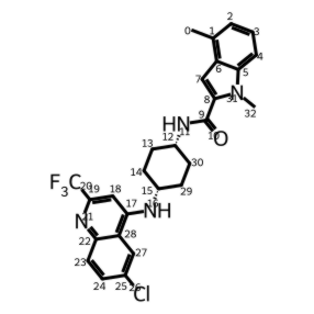 Cc1cccc2c1cc(C(=O)N[C@H]1CC[C@@H](Nc3cc(C(F)(F)F)nc4ccc(Cl)cc34)CC1)n2C